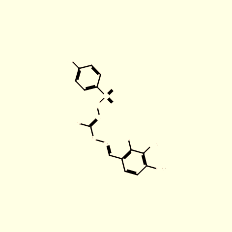 COc1ccc(C=NNC(N)=NOS(=O)(=O)c2ccc(C)cc2)c(Cl)c1OC